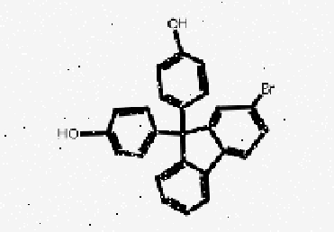 Oc1ccc(C2(c3ccc(O)cc3)c3ccccc3-c3ccc(Br)cc32)cc1